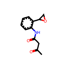 CC(=O)CC(=O)Nc1ccccc1C1CO1